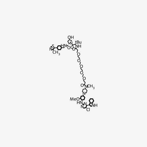 COc1cc(N2CCC(N(C)C(=O)CCOCCOCCOCCOCCOCCC(=O)NC(C(=O)N3C[C@H](O)C[C@H]3C(=O)NCc3ccc(-c4scnc4C)cc3)C(C)(C)C)CC2)ccc1Nc1ncc(Cl)c(-c2c[nH]c3ccccc23)n1